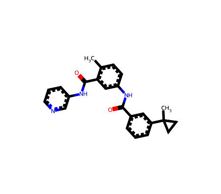 Cc1ccc(NC(=O)c2cccc(C3(C)CC3)c2)cc1C(=O)Nc1cccnc1